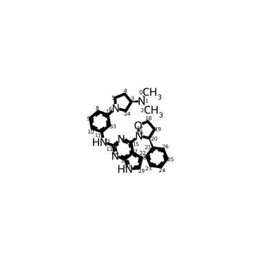 CN(C)[C@@H]1CCN(c2cccc(Nc3nc(N4OCC[C@H]4c4ccccc4)c4cc[nH]c4n3)c2)C1